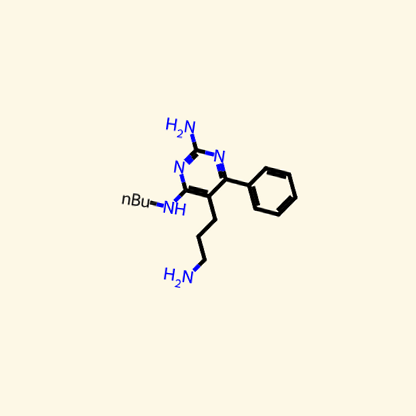 CCCCNc1nc(N)nc(-c2ccccc2)c1CCCN